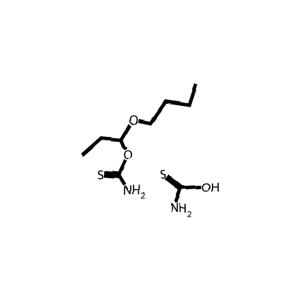 CCCCOC(CC)OC(N)=S.NC(O)=S